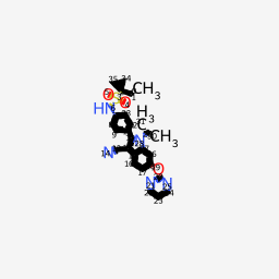 CCC1(S(=O)(=O)Nc2ccc(-c3c(C#N)c4ccc(Oc5ncccn5)cc4n3C(C)C)cc2)CC1